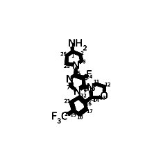 NC1CCN(c2ncnc(N3CCOCC3c3ccc(C(F)(F)F)cc3)c2F)CC1